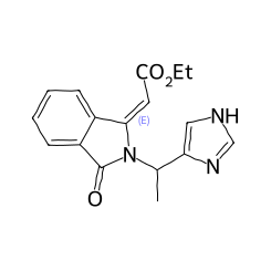 CCOC(=O)/C=C1\c2ccccc2C(=O)N1C(C)c1c[nH]cn1